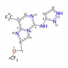 FC(F)(F)OCc1cn2c(Nc3cc[nH]n3)ncc(C(F)(F)F)c2n1